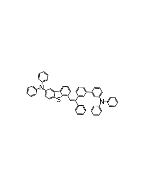 C(=C(\c1ccccc1)c1cccc(-c2cccc(N(c3ccccc3)c3ccccc3)c2)c1)/c1cccc2c1sc1ccc(N(c3ccccc3)c3ccccc3)cc12